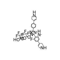 CNc1cc(C2=CCNCC2)cc(F)c1-c1nnc(-c2ccc(C3=CCNCC3)cc2)n1C.O=C(O)C(F)(F)F.O=C(O)C(F)(F)F